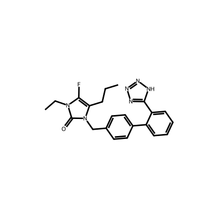 CCCc1c(F)n(CC)c(=O)n1Cc1ccc(-c2ccccc2-c2nnn[nH]2)cc1